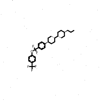 CCC[C@H]1CC[C@H]([C@H]2CC[C@H](c3ccc(C(F)(F)Oc4ccc(C(F)(F)F)cc4)cc3)CC2)CC1